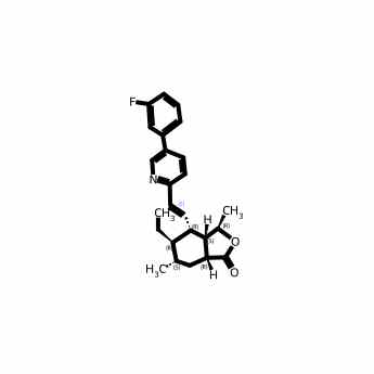 CC[C@H]1[C@H](/C=C/c2ccc(-c3cccc(F)c3)cn2)[C@@H]2[C@@H](C)OC(=O)[C@@H]2C[C@@H]1C